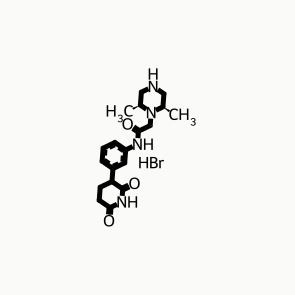 Br.C[C@@H]1CNC[C@H](C)N1CC(=O)Nc1cccc(C2CCC(=O)NC2=O)c1